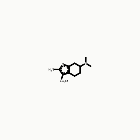 CCOC(=O)c1c(N)sc2c1CCC(N(C)C)C2